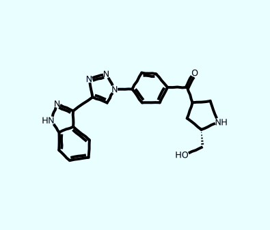 O=C(c1ccc(-n2cc(-c3n[nH]c4ccccc34)nn2)cc1)C1CN[C@H](CO)C1